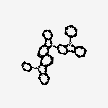 c1ccc(-n2c3ccccc3c3ccc(-n4c5ccccc5c5ccc6c(ccc7c8ccccc8n(-c8ccccc8)c76)c54)cc32)cc1